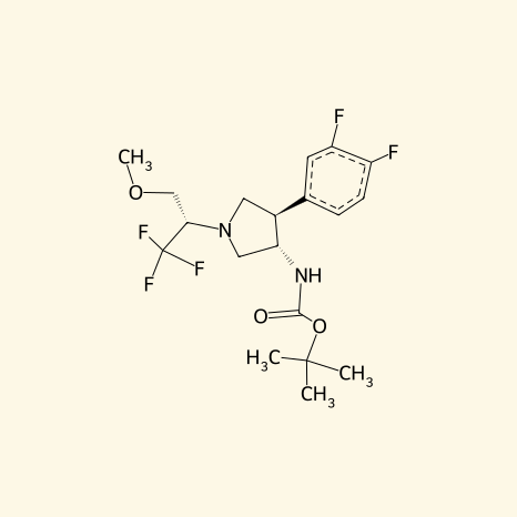 COC[C@H](N1C[C@@H](NC(=O)OC(C)(C)C)[C@H](c2ccc(F)c(F)c2)C1)C(F)(F)F